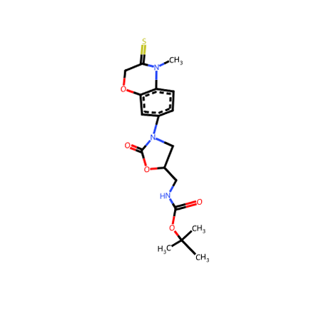 CN1C(=S)COc2cc(N3CC(CNC(=O)OC(C)(C)C)OC3=O)ccc21